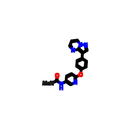 CNC(=O)Nc1ccc(Oc2ccc(-c3cnn4cccnc34)cc2)nc1